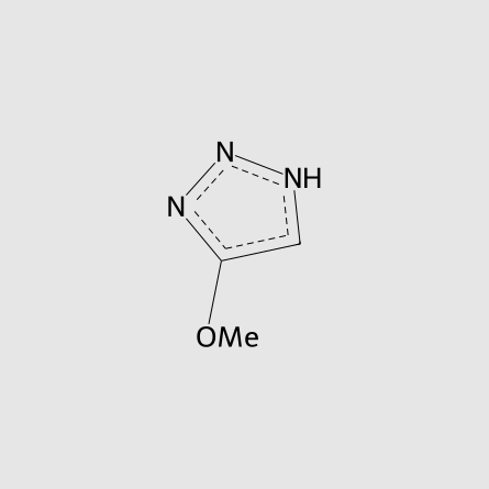 [CH2]Oc1c[nH]nn1